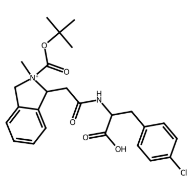 CC(C)(C)OC(=O)[N+]1(C)Cc2ccccc2C1CC(=O)NC(Cc1ccc(Cl)cc1)C(=O)O